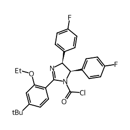 CCOc1cc(C(C)(C)C)ccc1C1=N[C@@H](c2ccc(F)cc2)[C@@H](c2ccc(F)cc2)N1C(=O)Cl